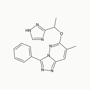 Cc1cc2nnc(-c3ccccc3)n2nc1OC(C)c1nc[nH]n1